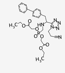 CCOC(=O)COP(=O)(CNC(Cc1ccc(-c2ccccc2)cc1)c1nnnn1CCC#N)OCC(=O)OCC